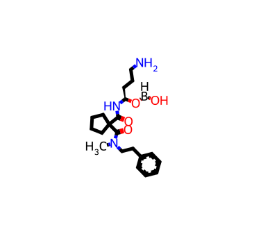 CN(CCc1ccccc1)C(=O)C1(C(=O)N[C@@H](CCCN)OBO)CCCC1